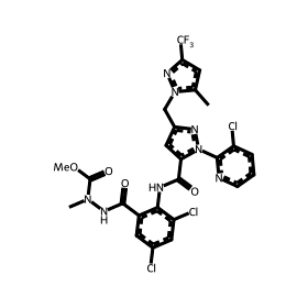 COC(=O)N(C)NC(=O)c1cc(Cl)cc(Cl)c1NC(=O)c1cc(Cn2nc(C(F)(F)F)cc2C)nn1-c1ncccc1Cl